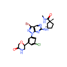 CNC(=O)[C@]1(C)CC[C@@H](Nc2ncc3c(Br)nn(-c4cc(Cl)cc(C5CNC(=O)CO5)c4)c3n2)C1